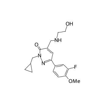 COc1ccc(-c2cc(CNCCO)c(=O)n(CC3CC3)n2)cc1F